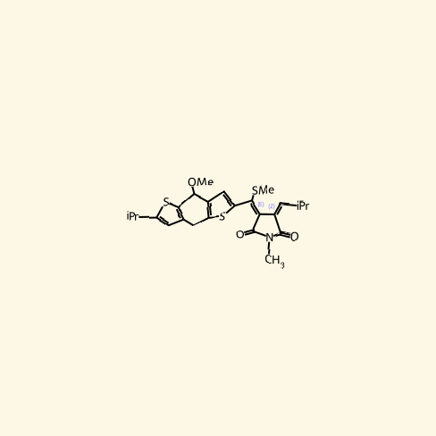 COC1c2cc(/C(SC)=C3\C(=O)N(C)C(=O)\C3=C/C(C)C)sc2Cc2cc(C(C)C)sc21